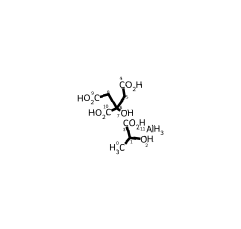 CC(O)C(=O)O.O=C(O)CC(O)(CC(=O)O)C(=O)O.[AlH3]